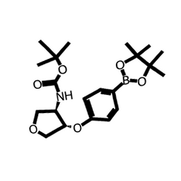 CC(C)(C)OC(=O)N[C@@H]1COC[C@H]1Oc1ccc(B2OC(C)(C)C(C)(C)O2)cc1